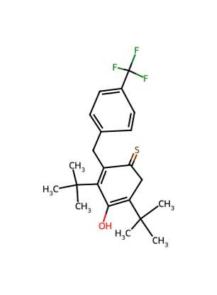 CC(C)(C)C1=C(O)C(C(C)(C)C)=C(Cc2ccc(C(F)(F)F)cc2)C(=S)C1